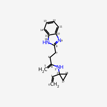 C=CC1(NC(=C)CCc2nc3ccccc3[nH]2)CC1